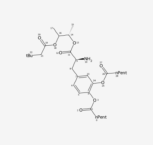 CCCCCC(=O)Oc1ccc(C[C@H](N)C(=O)O[C@@H](C)C(C)OC(=O)CC(C)(C)C)cc1OC(=O)CCCCC